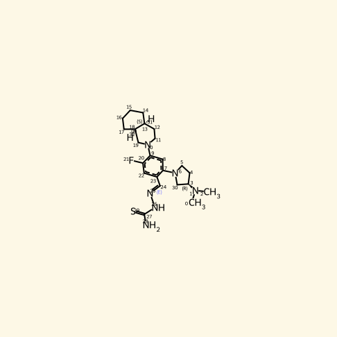 CN(C)[C@@H]1CCN(c2cc(N3CC[C@@H]4CCCC[C@@H]4C3)c(F)cc2/C=N/NC(N)=S)C1